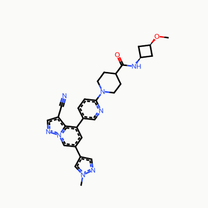 CO[C@H]1C[C@@H](NC(=O)C2CCN(c3ccc(-c4cc(-c5cnn(C)c5)cn5ncc(C#N)c45)cn3)CC2)C1